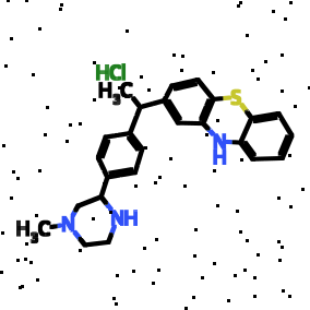 CC(c1ccc(C2CN(C)CCN2)cc1)c1ccc2c(c1)Nc1ccccc1S2.Cl